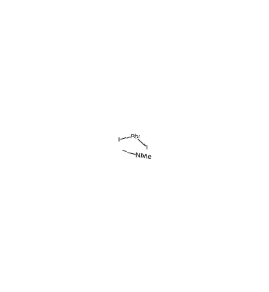 C[NH2+]C.[I][Pb][I]